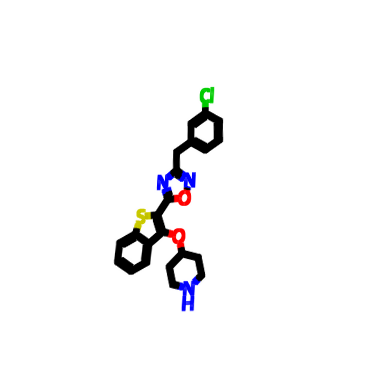 Clc1cccc(Cc2noc(-c3sc4ccccc4c3OC3CCNCC3)n2)c1